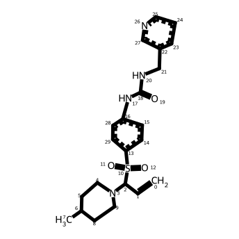 C=CC(N1CCC(C)CC1)S(=O)(=O)c1ccc(NC(=O)NCc2cccnc2)cc1